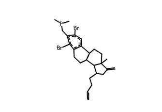 C=CCCC1CC(=C)C2(C)CCC3c4cc(Br)c(CP(C)C)c(Br)c4CCC3C12